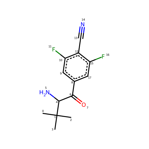 CC(C)(C)C(N)C(=O)c1cc(F)c(C#N)c(F)c1